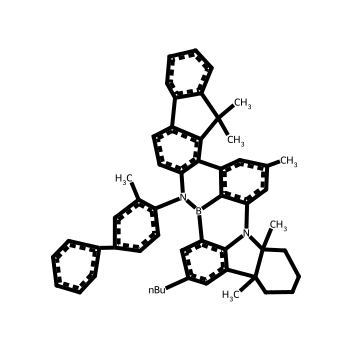 CCCCc1cc2c3c(c1)C1(C)CCCCC1(C)N3c1cc(C)cc3c1B2N(c1ccc(-c2ccccc2)cc1C)c1ccc2c(c1-3)C(C)(C)c1ccccc1-2